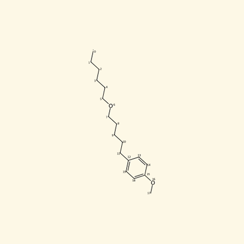 [CH2]CCCCCOCCCCCc1ccc(OC)cc1